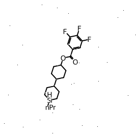 CCC[SiH]1CCC(C2CCC(OC(=O)c3cc(F)c(F)c(F)c3)CC2)CC1